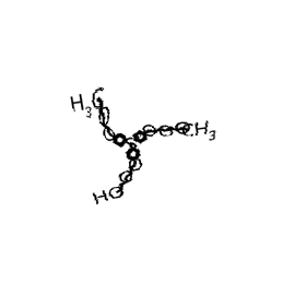 CCCOCCOc1ccc([S+](c2ccc(OCCOCCCO)cc2)c2ccc(OCCOCCOC)cc2)cc1